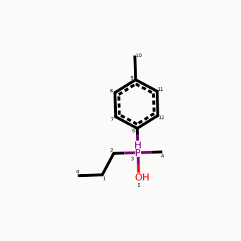 CCC[PH](C)(O)c1ccc(C)cc1